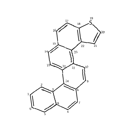 c1ccc2c(c1)ccc1ccc3c(ccc4ccc5sccc5c43)c12